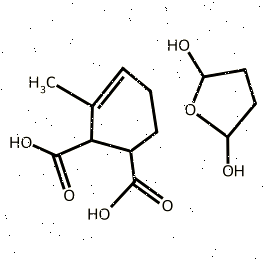 CC1=CCCC(C(=O)O)C1C(=O)O.OC1CCC(O)O1